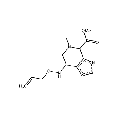 C=CCONC1CN(I)C(C(=O)OC)c2ncsc21